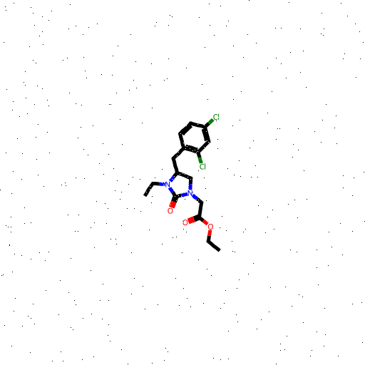 CCOC(=O)CN1CC(Cc2ccc(Cl)cc2Cl)N(CC)C1=O